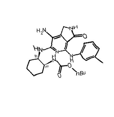 CCCCOC(=O)N[C@H]1CCCC[C@H]1Nc1nc(Nc2cccc(C)c2)c2c(c1N)CNC2=O